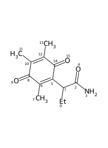 CCC(C(N)=O)C1=C(C)C(=O)C(C)=C(C)C1=O